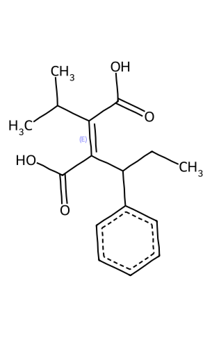 CCC(/C(C(=O)O)=C(\C(=O)O)C(C)C)c1ccccc1